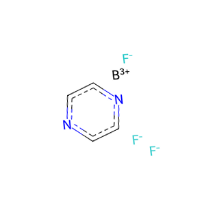 [B+3].[F-].[F-].[F-].c1cnccn1